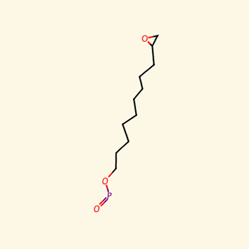 O=POCCCCCCCCCC1CO1